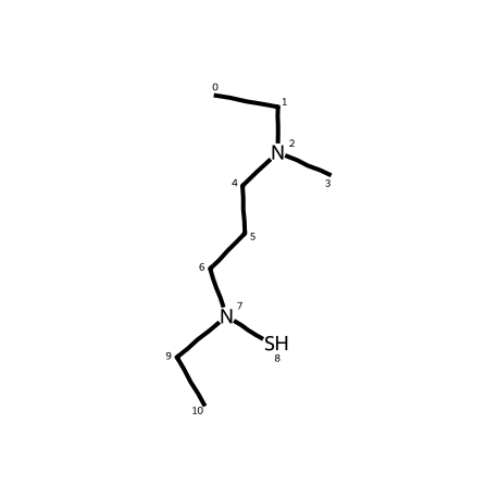 CCN(C)CCCN(S)CC